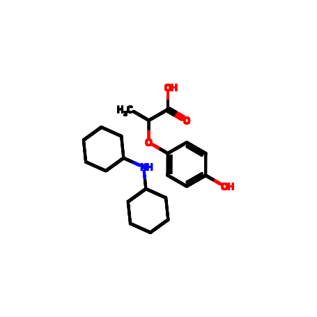 C1CCC(NC2CCCCC2)CC1.CC(Oc1ccc(O)cc1)C(=O)O